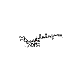 COC(=O)[C@@H](NC(=O)CC[C@@H](C)[C@H]1CC[C@H]2[C@@H]3[C@H](O)C[C@@H]4C[C@@H](NCCCNCCCCNCCCN)CC[C@]4(C)[C@H]3C[C@H](O)[C@]12C)C(C)C